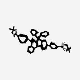 CC1(C)CN=C(c2ccc(-c3ccc4c(c3)C(c3ccccc3)(c3ccccc3)c3cc(-c5ccc(C6=NCC(C)(C)O6)cc5)c5ccccc5c3-4)cc2)O1